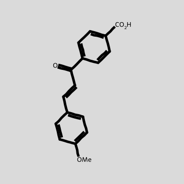 COc1ccc(C=CC(=O)c2ccc(C(=O)O)cc2)cc1